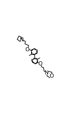 Cc1c(OCCCN2CCCC2)cccc1-c1cccc(OCCCN2CCOCC2)c1C